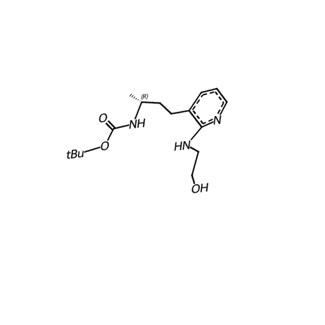 C[C@H](CCc1cccnc1NCCO)NC(=O)OC(C)(C)C